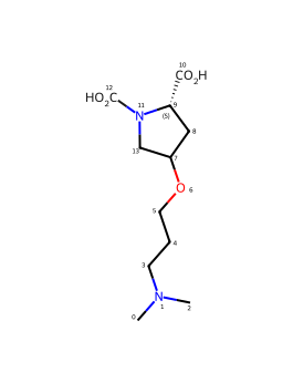 CN(C)CCCOC1C[C@@H](C(=O)O)N(C(=O)O)C1